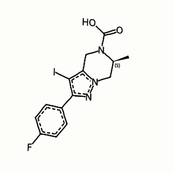 C[C@H]1Cn2nc(-c3ccc(F)cc3)c(I)c2CN1C(=O)O